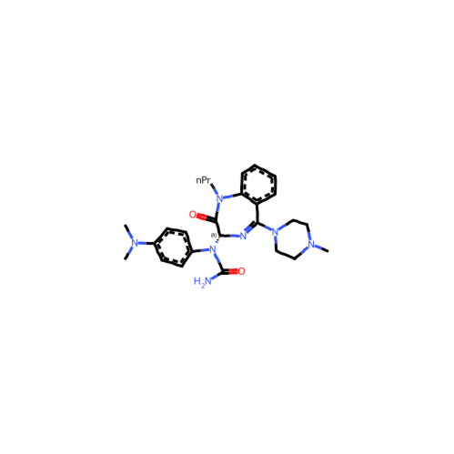 CCCN1C(=O)[C@@H](N(C(N)=O)c2ccc(N(C)C)cc2)N=C(N2CCN(C)CC2)c2ccccc21